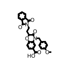 COc1ccc(CN2C(=O)C(CCN3C(=O)c4ccccc4C3=O)Oc3ccc(C(=O)O)cc32)cc1